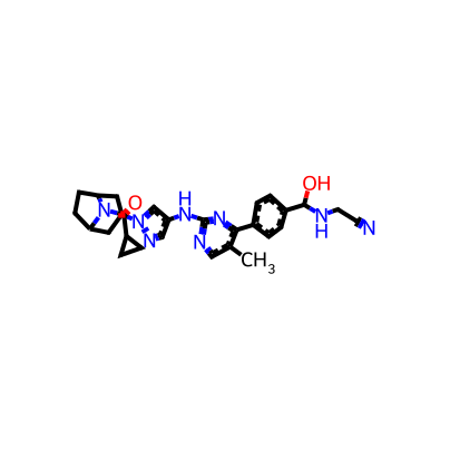 Cc1cnc(Nc2cnn(C3CC4CCC(C3)N4C(=O)C3CC3)c2)nc1-c1ccc(C(O)NCC#N)cc1